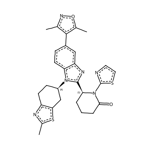 Cc1nc2c(s1)C[C@H](n1c([C@@H]3CCCC(=O)N3c3nccs3)nc3cc(-c4c(C)noc4C)ccc31)CC2